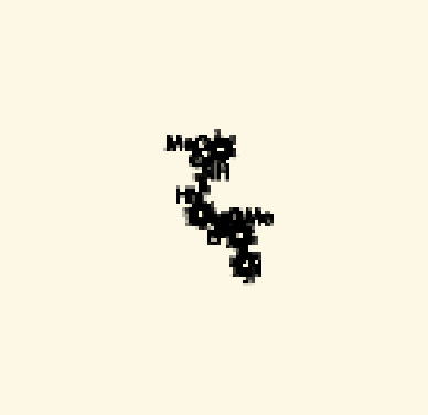 COc1ccccc1C(=O)NCCNc1cccc(N[S+]([O-])c2cc(-c3cccnc3)ccc2OC)c1